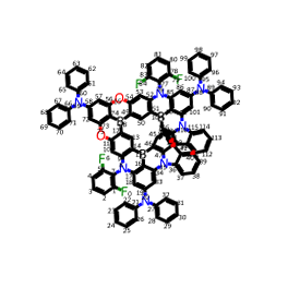 Fc1cccc(F)c1N1c2cc3c(cc2B2c4c1cc(N(c1ccccc1)c1ccccc1)cc4-n1c4ccccc4c4cccc2c41)B1c2cc4c(cc2Oc2cc(N(c5ccccc5)c5ccccc5)cc(c21)O3)N(c1c(F)cccc1F)c1cc(N(c2ccccc2)c2ccccc2)cc2c1B4c1cccc3c4ccccc4n-2c13